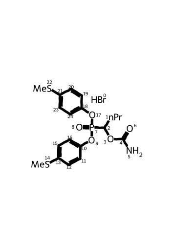 Br.CCCC(OC(N)=O)P(=O)(Oc1ccc(SC)cc1)Oc1ccc(SC)cc1